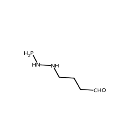 O=CCCCNNP